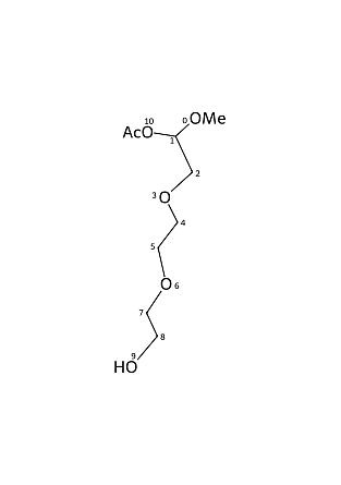 COC(COCCOCCO)OC(C)=O